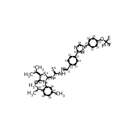 CC(C)=C1S/C(=N\C(=S)N/N=C/c2ccc(-c3ncn(-c4ccc(OC(F)(F)F)cc4)n3)cc2)N(c2cc(C)ccc2C(C)C)C1=O